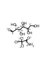 NC(=O)C(Cl)(Cl)Cl.O=C[C@H](O)[C@@H](O)[C@@H](O)[C@H](O)CO